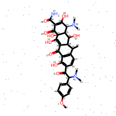 COc1ccc(C(C(=O)c2ccc3c(c2O)C(=O)C2=C(O)[C@]4(O)C(=O)C(C(N)=O)=C(O)[C@@H](N(C)C)C4C(O)C2C3C)N(C)C)cc1